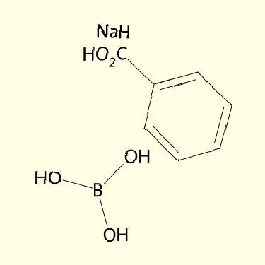 O=C(O)c1ccccc1.OB(O)O.[NaH]